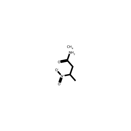 C.CC(CC(N)=O)[N+](=O)[O-]